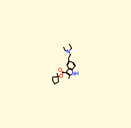 CCN(CC)CCc1ccc2[nH]c(C)c(C(=O)OC3(C)CCCC3)c2c1